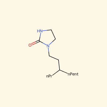 CCCCCC(CCC)CCN1CCNC1=O